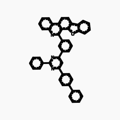 c1ccc(-c2ccc(-c3cc(-c4cccc(-c5nc6ccccc6c6ccc7c8ccccc8oc7c56)c4)nc(-c4ccccc4)n3)cc2)cc1